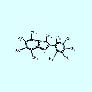 Cc1c(C)c(C)c(-c2oc3c(C)c(C)c(C)c(C)c3c2C)c(C)c1C